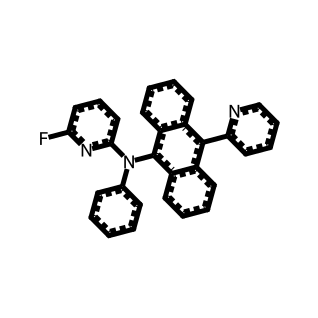 Fc1cccc(N(c2ccccc2)c2c3ccccc3c(-c3ccccn3)c3ccccc23)n1